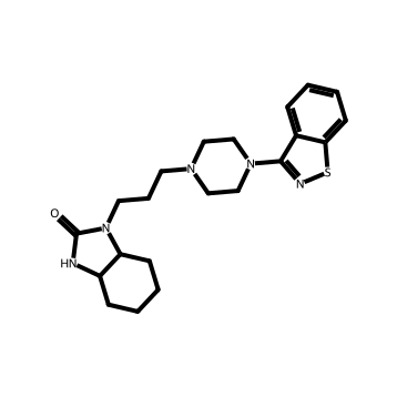 O=C1NC2CCCCC2N1CCCN1CCN(c2nsc3ccccc23)CC1